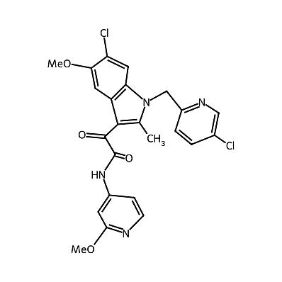 COc1cc(NC(=O)C(=O)c2c(C)n(Cc3ccc(Cl)cn3)c3cc(Cl)c(OC)cc23)ccn1